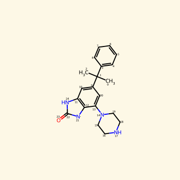 CC(C)(c1ccccc1)c1cc2c(c(N3CCNCC3)c1)[N]C(=O)N2